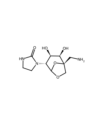 NC[C@@]12COC(O1)[C@H](N1CCNC1=O)[C@@H](O)[C@H]2O